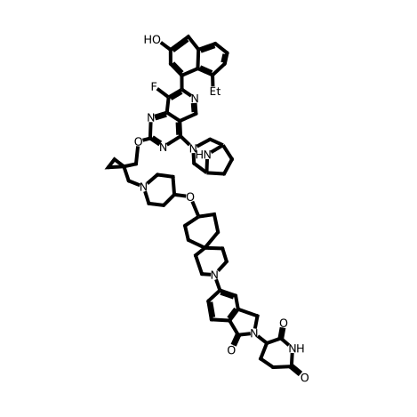 CCc1cccc2cc(O)cc(-c3ncc4c(N5CC6CCC(C5)N6)nc(OCC5(CN6CCC(OC7CCC8(CC7)CCN(c7ccc9c(c7)CN(C7CCC(=O)NC7=O)C9=O)CC8)CC6)CC5)nc4c3F)c12